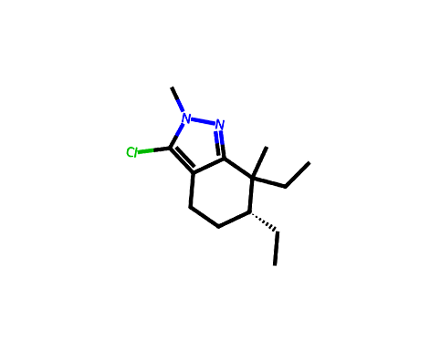 CC[C@@H]1CCc2c(nn(C)c2Cl)C1(C)CC